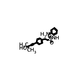 CC(C)(O)C#Cc1ccc(CCS(=O)(=O)Nc2ccccc2N)cc1